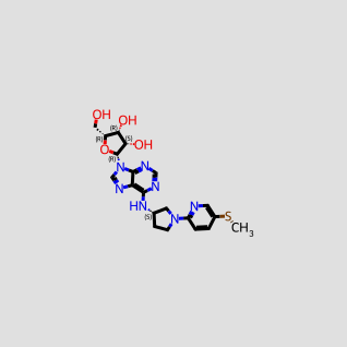 CSc1ccc(N2CC[C@H](Nc3ncnc4c3ncn4[C@@H]3O[C@H](CO)[C@H](O)[C@@H]3O)C2)nc1